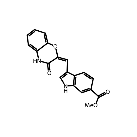 COC(=O)c1ccc2c(/C=C3/Oc4ccccc4NC3=O)c[nH]c2c1